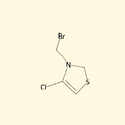 ClC1=CSCN1CBr